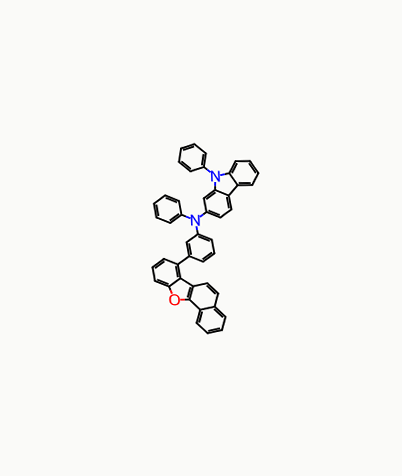 c1ccc(N(c2cccc(-c3cccc4oc5c6ccccc6ccc5c34)c2)c2ccc3c4ccccc4n(-c4ccccc4)c3c2)cc1